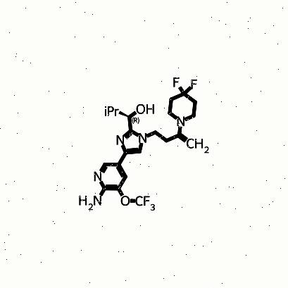 C=C(CCn1cc(-c2cnc(N)c(OC(F)(F)F)c2)nc1[C@H](O)C(C)C)N1CCC(F)(F)CC1